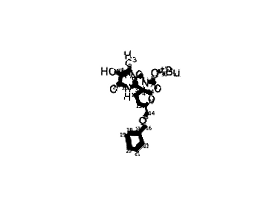 Cc1nc([C@]2(N(C)C(=O)OC(C)(C)C)CC[C@H](COCc3ccccc3)OC2)[nH]c(=O)c1O